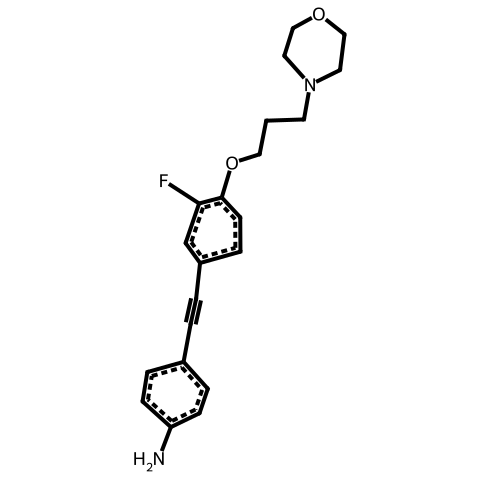 Nc1ccc(C#Cc2ccc(OCCCN3CCOCC3)c(F)c2)cc1